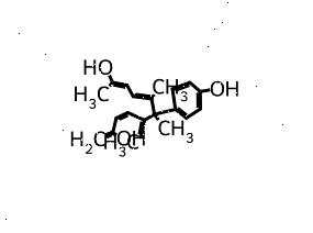 C=C(O)/C=C\C(=C/C)C(C)(/C(C)=C/C=C(\C)O)c1ccc(O)cc1